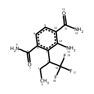 CCC(c1c(C(N)=O)ccc(C(N)=O)c1N)C(F)(F)F